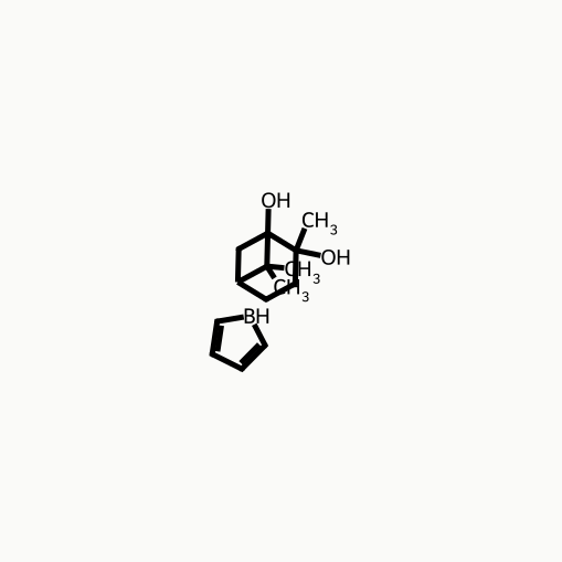 B1C=CC=C1.CC1(O)CCC2CC1(O)C2(C)C